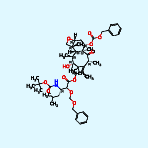 CC1=C2[C@@H](C)C(=O)[C@]3(C)[C@@H](OC(=O)OCc4ccccc4)C[C@H]4OC[C@@]4(C)[C@H]3[C@H](C)[C@](O)(C[C@@H]1OC(=O)C(OCOCc1ccccc1)[C@H](CC(C)C)NC(=O)OC(C)(C)C)C2(C)C